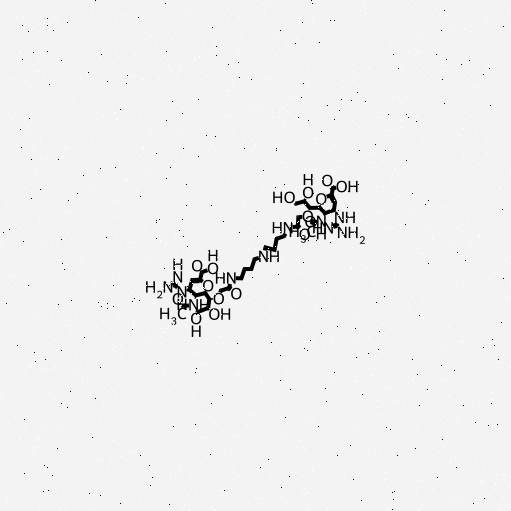 CC(=O)N[C@H]1[C@H]([C@H](OCC(=O)NCCCCNCCCCNC(=O)CO[C@@H]([C@@H]2OC(C(=O)O)=C[C@H](NC(=N)N)[C@H]2NC(C)=O)[C@H](O)CO)[C@H](O)CO)OC(C(=O)O)=C[C@@H]1NC(=N)N